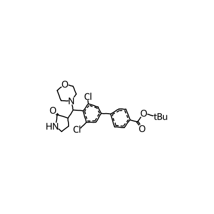 CC(C)(C)OC(=O)c1ccc(-c2cc(Cl)c(C(C3CCNC3=O)N3CCOCC3)c(Cl)c2)cc1